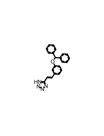 C(=Cc1nnn[nH]1)c1cccc(OC(c2ccccc2)c2ccccc2)c1